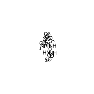 C=Cc1cc(C(=O)Nc2ccc(C(=N)NC(=O)OC(C)CO[Si](C)(C)C(C)(C)C)cc2)c(-c2ccc(C(=O)NCC3CC3)nc2C(=O)OC(C)OC(=O)OC(C)C)cc1OC